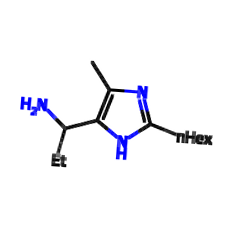 CCCCCCc1nc(C)c(C(N)CC)[nH]1